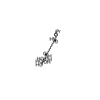 CC(C)c1ccc(CNC(=O)CCCCCCCCCCC(=O)NC[C@@H](O)[C@H](O)[C@@H](O)[C@@H](O)CO)cc1